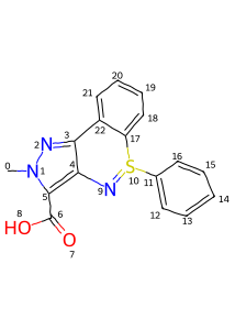 Cn1nc2c(c1C(=O)O)N=S(c1ccccc1)c1ccccc1-2